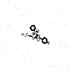 CCCSc1oc(-c2ccc(F)cc2)nc1S(=O)(=O)c1ccccc1